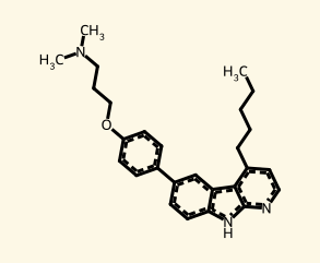 CCCCCc1ccnc2[nH]c3ccc(-c4ccc(OCCCN(C)C)cc4)cc3c12